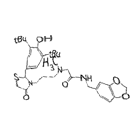 CN(CCCN1C(=O)CSC1c1cc(C(C)(C)C)c(O)c(C(C)(C)C)c1)CC(=O)NCc1ccc2c(c1)OCO2